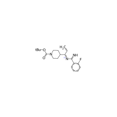 C=C/C(=N\C(=N)c1ccccc1F)C1CCN(C(=O)OC(C)(C)C)CC1